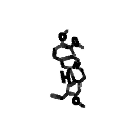 C=Cc1cc2c(cc1OC)CCN1Cc3c(ccc(OC)c3OC)C[C@@H]21